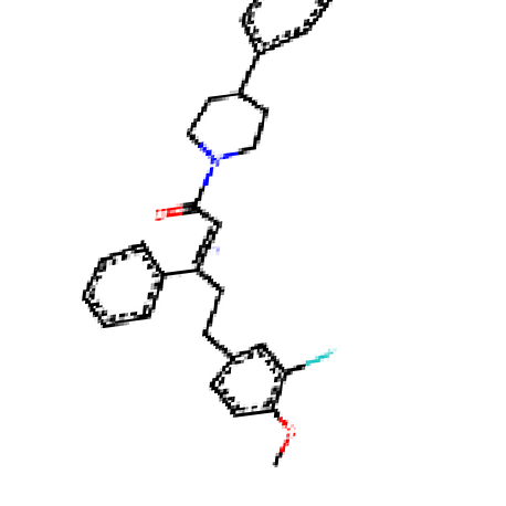 COc1ccc(CC/C(=C/C(=O)N2CCC(c3ccccc3)CC2)c2ccccc2)cc1F